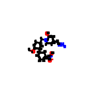 COc1ccc(Cn2ccc(CN)cc2=O)cc1-c1cccc([N+](=O)[O-])c1